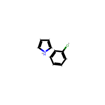 Clc1ccccc1.c1cc[nH]c1